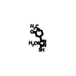 CN1CCC(c2nnc(S)n2C)CC1=O